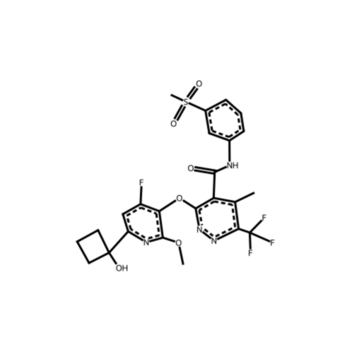 COc1nc(C2(O)CCC2)cc(F)c1Oc1nnc(C(F)(F)F)c(C)c1C(=O)Nc1cccc(S(C)(=O)=O)c1